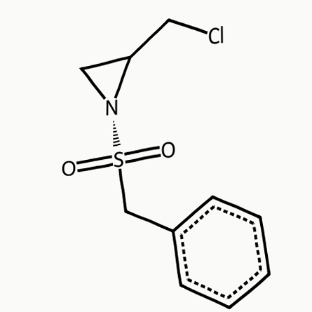 O=S(=O)(Cc1ccccc1)[N@]1CC1CCl